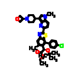 CCOC(=O)[C@@H](OC(C)(C)C)c1c(C)cc2nc(-c3ccc4c(n3)c(C3CCN(C5COC5)CC3)cn4C)sc2c1-c1ccc(Cl)cc1